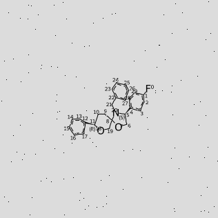 Fc1ccc([C@H]2COC3(CC[C@H](c4ccccc4)OC3)N2Cc2ccccc2)cc1